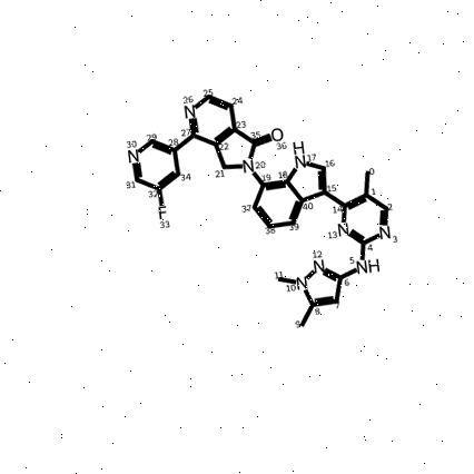 Cc1cnc(Nc2cc(C)n(C)n2)nc1-c1c[nH]c2c(N3Cc4c(ccnc4-c4cncc(F)c4)C3=O)cccc12